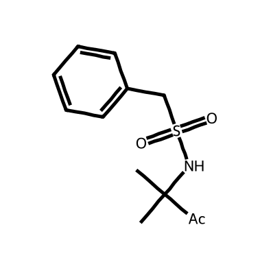 CC(=O)C(C)(C)NS(=O)(=O)Cc1ccccc1